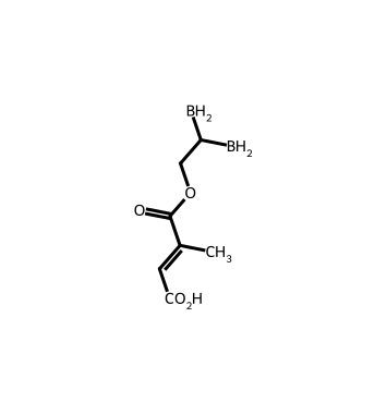 BC(B)COC(=O)/C(C)=C/C(=O)O